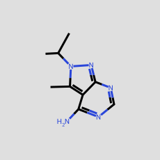 Cc1c2c(N)ncnc2nn1C(C)C